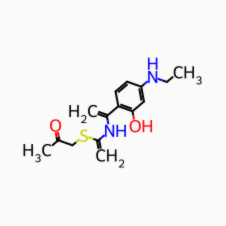 C=C(NC(=C)c1ccc(NCC)cc1O)SCC(C)=O